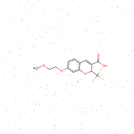 COCCOc1ccc2c(c1)OC(C(F)(F)F)C(C(=O)O)=C2